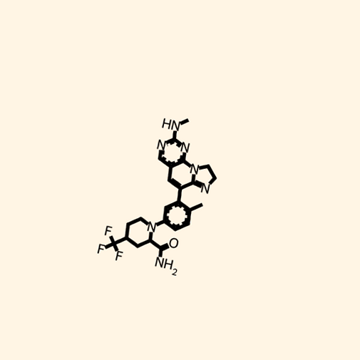 CNc1ncc2c(n1)N1CCN=C1C(c1cc(N3CCC(C(F)(F)F)CC3C(N)=O)ccc1C)=C2